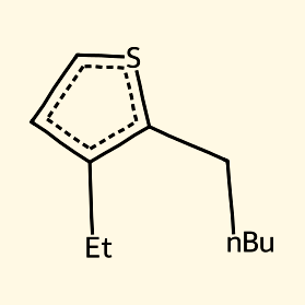 CCCCCc1sccc1CC